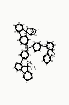 CC1(C)c2ccccc2-c2cccc(-c3ccc(N(c4ccc(-c5cccc6oc7ccccc7c56)cc4)c4ccc5c(c4)C4(CC6CCC4C6)c4ccccc4-5)cc3)c21